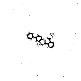 COC(=O)c1cccnc1C(OC)Oc1ccc(-c2ccccc2)cc1